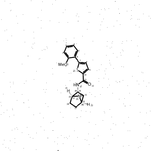 COc1ccccc1-c1ccc(C(=O)N[C@@H]2C[C@H]3CC[C@@H]2N3)s1